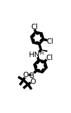 C[C@@H](Nc1cc(B2OC(C)(C)C(C)(C)O2)ccc1Cl)c1ccc(Cl)cc1Cl